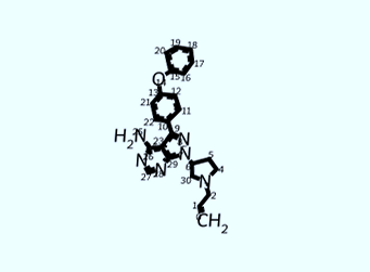 C=CCN1CCC(n2nc(-c3ccc(Oc4ccccc4)cc3)c3c(N)ncnc32)C1